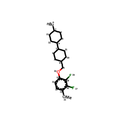 CCCCC1CCC(C2CCC(COc3ccc(OC)c(F)c3F)CC2)CC1